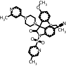 CCOc1ccc(OC)cc1C1(N2CCN(c3ccnc(C)c3)CC2)C(=O)N(S(=O)(=O)c2ccc(C)cn2)c2ccc(C#N)cc21